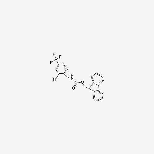 O=C(NCc1ncc(C(F)(F)F)cc1Cl)OCC1c2ccccc2-c2ccccc21